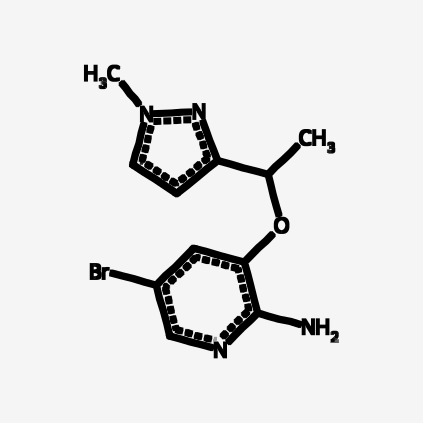 CC(Oc1cc(Br)cnc1N)c1ccn(C)n1